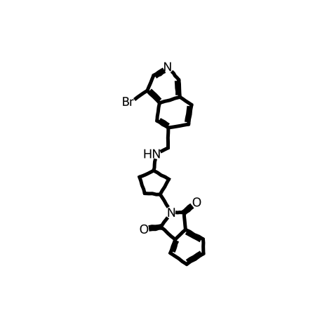 O=C1c2ccccc2C(=O)N1C1CCC(NCc2ccc3cncc(Br)c3c2)C1